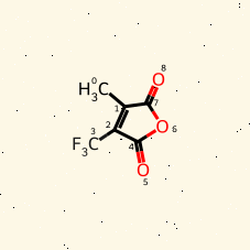 CC1=C(C(F)(F)F)C(=O)OC1=O